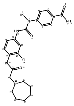 NC(=O)c1ccc(N(S)C(=O)Nc2ccc(NC(=O)CN3CCCCCC3)c(Cl)c2)cc1